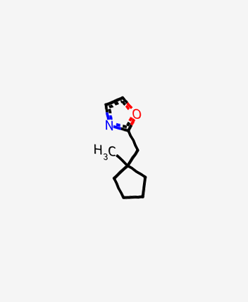 CC1(Cc2ncco2)CCCC1